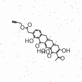 C#CCOC(=O)Cc1ccc2c(c1O)C(=O)C1=C(O)[C@]3(O)C(=O)C(C(C)=O)=C(O)C[C@]3(C)C[C@]1(C)C2